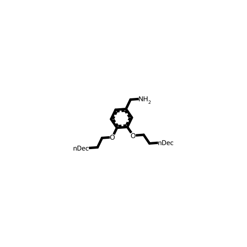 CCCCCCCCCCCCOc1ccc(CN)cc1OCCCCCCCCCCCC